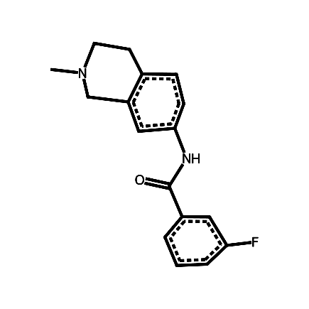 CN1CCc2ccc(NC(=O)c3cccc(F)c3)cc2C1